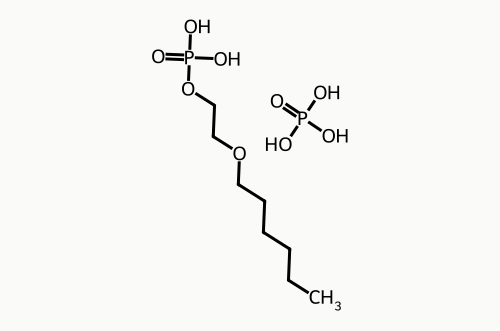 CCCCCCOCCOP(=O)(O)O.O=P(O)(O)O